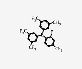 Cc1cc(B(c2cc(C(F)(F)F)cc(C(F)(F)F)c2)c2ccc(C(F)(F)F)cc2F)cc(C(F)(F)F)c1